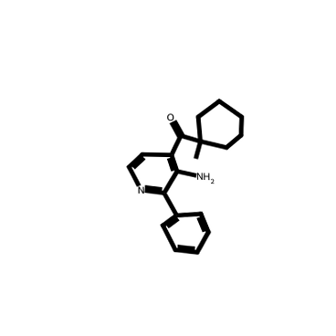 CC1(C(=O)c2ccnc(-c3ccccc3)c2N)CCCCC1